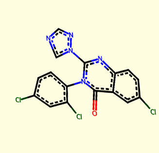 O=c1c2cc(Cl)ccc2nc(-n2cncn2)n1-c1ccc(Cl)cc1Cl